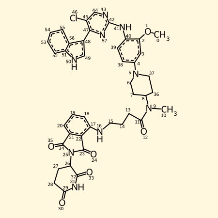 COc1cc(N2CCC(N(C)C(=O)CCCNc3cccc4c3C(=O)N(C3CCC(=O)NC3=O)C4=O)CC2)ccc1Nc1ncc(Cl)c(-c2c[nH]c3ccccc23)n1